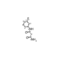 NC(=O)CC(=O)Nc1cccc(F)c1